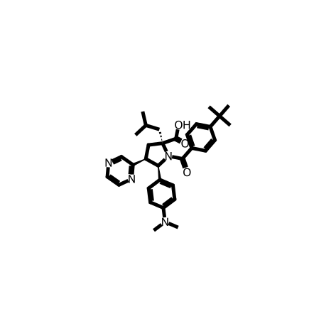 CC(C)C[C@@]1(C(=O)O)C[C@H](c2cnccn2)[C@H](c2ccc(N(C)C)cc2)N1C(=O)c1ccc(C(C)(C)C)cc1